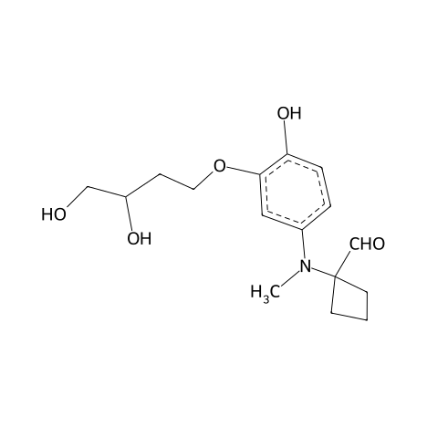 CN(c1ccc(O)c(OCCC(O)CO)c1)C1(C=O)CCC1